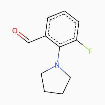 O=Cc1cccc(F)c1N1CCCC1